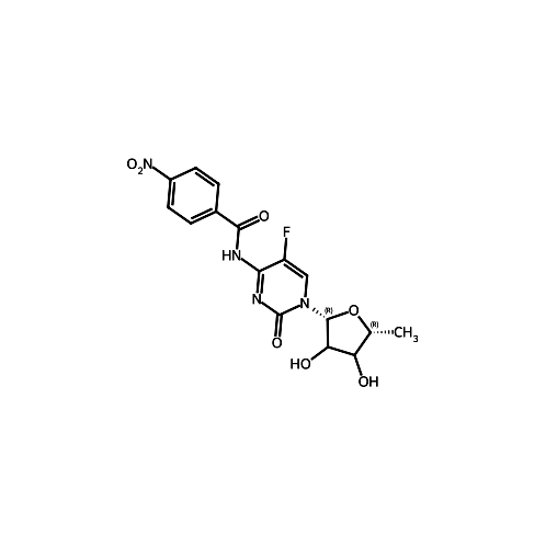 C[C@H]1O[C@@H](n2cc(F)c(NC(=O)c3ccc([N+](=O)[O-])cc3)nc2=O)C(O)C1O